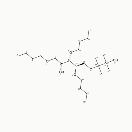 CCCCOC[C@@H](O)[C@H](OCCCC)[C@@H](CCC(C)(C)[Si](C)(C)O)OCCCC